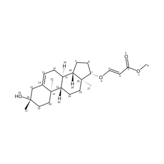 COC(=O)/C=C/O[C@H]1CC[C@H]2[C@@H]3CC=C4C[C@@](C)(O)CC[C@]4(C)[C@H]3CC[C@]12C